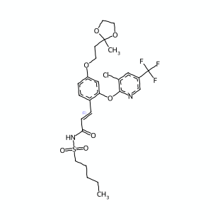 CCCCCS(=O)(=O)NC(=O)/C=C/c1ccc(OCCC2(C)OCCO2)cc1Oc1ncc(C(F)(F)F)cc1Cl